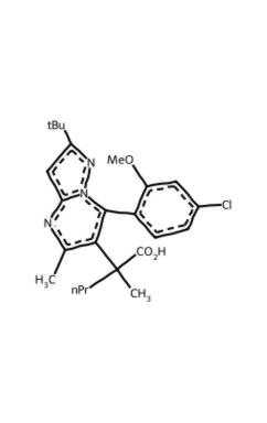 CCCC(C)(C(=O)O)c1c(C)nc2cc(C(C)(C)C)nn2c1-c1ccc(Cl)cc1OC